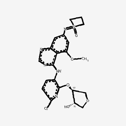 COc1cc(N=S2(=O)CCC2)cc2ncnc(Nc3ccc(Cl)nc3O[C@H]3COC[C@@H]3O)c12